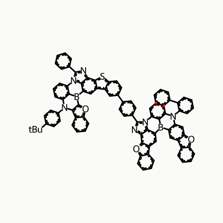 CC(C)(C)c1ccc(N2c3cccc4c3B(c3oc5ccccc5c32)c2cc3c5cc(-c6ccc(-c7nc8c9oc%10ccccc%10c9cc9c8n7-c7cccc8c7B9c7cc9c(cc7N8c7ccccc7-c7ccccc7)oc7ccccc79)cc6)ccc5sc3c3nc(-c5ccccc5)n-4c23)cc1